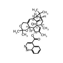 CC1=C[C@]23C(=O)[C@@H](C=C4COC(C)(C)O[C@H]4[C@]2(O)[C@H]1OC(=O)c1cnnc2ccccc12)[C@H]1[C@@H](C[C@H]3C)C1(C)C